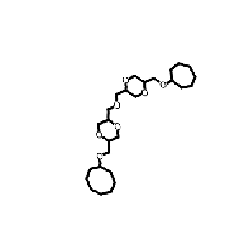 C1CCCC(OCC2COC(COCC3COC(COC4CCCCCC4)CO3)CO2)CCC1